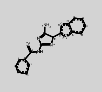 NC1=NC(NC(=O)c2ccccc2)=NC1c1nc2ccccc2s1